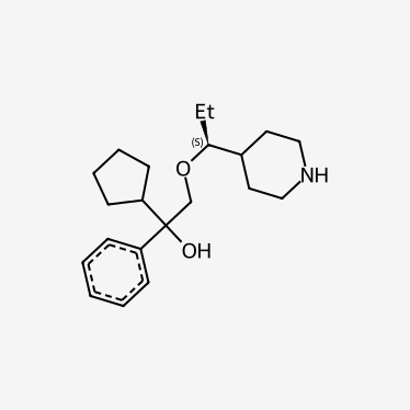 CC[C@H](OCC(O)(c1ccccc1)C1CCCC1)C1CCNCC1